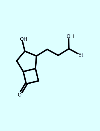 CCC(O)CCC1C(O)CC2C(=O)CC21